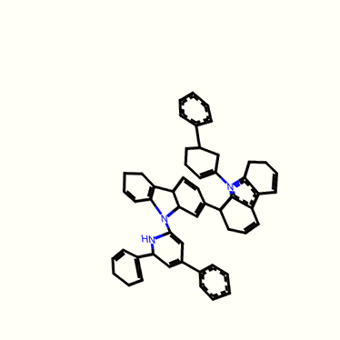 C1=CC(C2C=C(c3ccccc3)C=C(N3C4=C(CCC=C4)C4C=CC(C5CC=Cc6c7c(n(C8=CCCC(c9ccccc9)C8)c65)CCC=C7)=CC43)N2)=CCC1